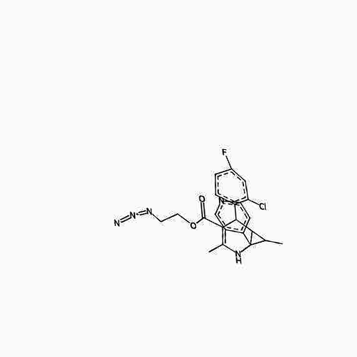 CC1=C(C(=O)OCCN=[N+]=[N-])C(c2ccc(F)cc2Cl)C2C(C)C2(c2ccncc2)N1